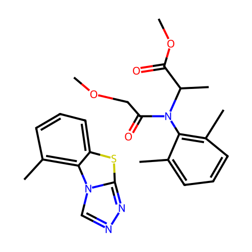 COCC(=O)N(c1c(C)cccc1C)C(C)C(=O)OC.Cc1cccc2sc3nncn3c12